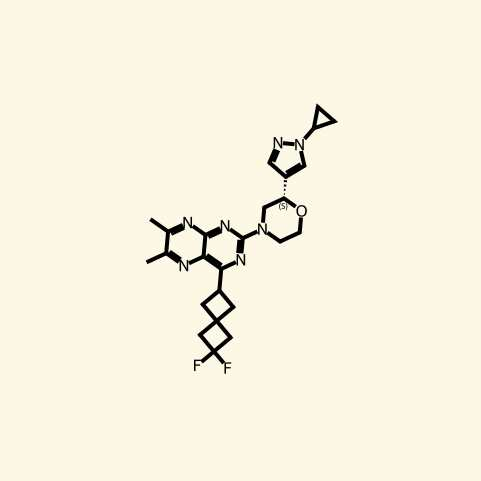 Cc1nc2nc(N3CCO[C@@H](c4cnn(C5CC5)c4)C3)nc(C3CC4(C3)CC(F)(F)C4)c2nc1C